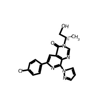 C[C@@H](CO)n1cnc2c(-n3cccn3)nc(-c3ccc(Cl)cc3)cc2c1=O